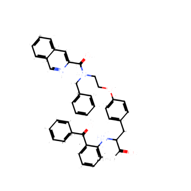 COC(=O)C(Cc1ccc(OCCN(Cc2ccccc2)C(=O)c2cc3ccccc3cn2)cc1)Nc1ccccc1C(=O)c1ccccc1